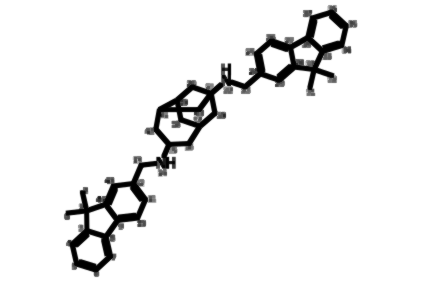 CC1(C)c2ccccc2-c2ccc(CNC3CC4CC5CC(NCc6ccc7c(c6)C(C)(C)c6ccccc6-7)(C4)CC5C3)cc21